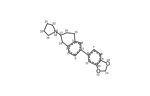 c1cc2c(cc1-c1ccc3c(c1)OCO3)CCC(N1CCCC1)C2